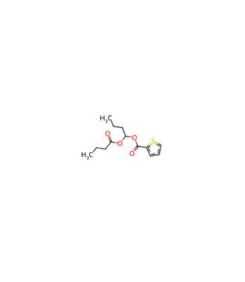 CCCC(=O)OC(CCC)OC(=O)c1cccs1